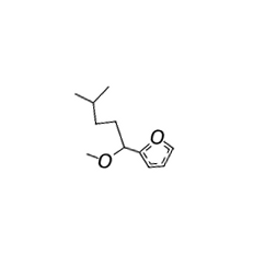 COC(CCC(C)C)c1ccco1